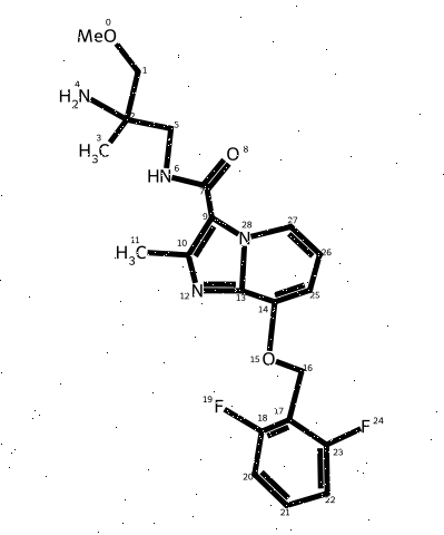 COCC(C)(N)CNC(=O)c1c(C)nc2c(OCc3c(F)cccc3F)cccn12